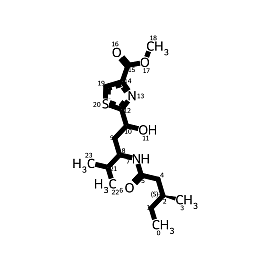 CC[C@H](C)CC(=O)NC(CC(O)c1nc(C(=O)OC)cs1)C(C)C